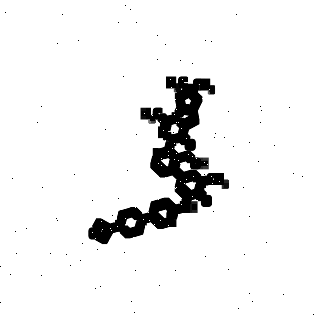 Cc1nn(-c2nccc(-c3cc(Nc4ccc(N5CCN(C6COC6)CC5)cn4)c(=O)n(C)c3)c2CO)c(=O)c2cc3c(n12)CC(C)(C)C3